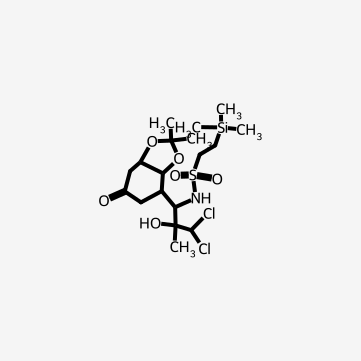 CC1(C)OC2CC(=O)CC(C(NS(=O)(=O)CC[Si](C)(C)C)C(C)(O)C(Cl)Cl)C2O1